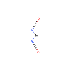 O=C=[N][Sn][N]=C=O